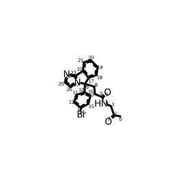 CC(=O)CNC(=O)CCC1(c2ccc(Br)cc2)c2ccccc2-c2nccn21